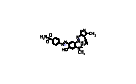 Cc1nsc(/N=N/c2cc(/N=N/c3ccc(S(N)(=O)=O)cc3)c(O)cc2N(C)C)c1C#N